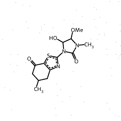 COC1C(O)N(c2nc3c(s2)C(=O)CC(C)C3)C(=O)N1C